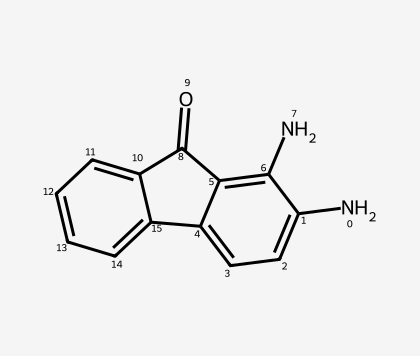 Nc1ccc2c(c1N)C(=O)c1ccccc1-2